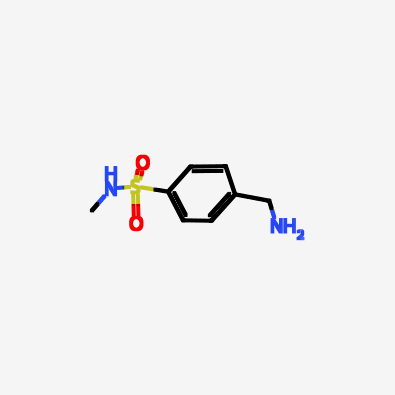 CNS(=O)(=O)c1ccc(CN)cc1